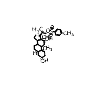 Cc1ccc(S(=O)(=O)OC[C@@H](C)[C@H]2CCC3C4CC[C@@H]5C[C@H](O)CC[C@]5(C)C4C[C@H](O)[C@@]32C)cc1